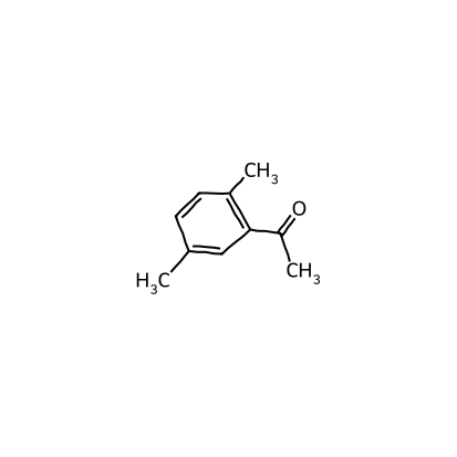 CC(=O)c1cc(C)ccc1C